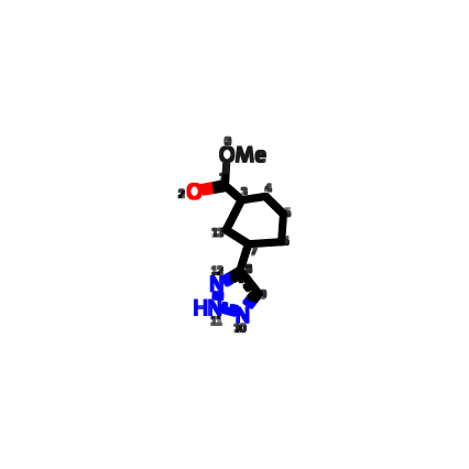 COC(=O)C1CCCC(c2cn[nH]n2)C1